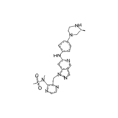 C[C@H]1CN(c2ccc(Nc3cc4c(cn3)cnn4Cc3nccnc3N(C)S(C)(=O)=O)cc2)CCN1